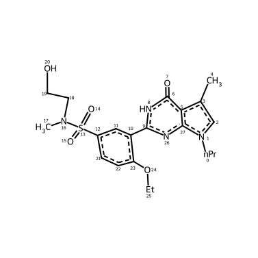 CCCn1cc(C)c2c(=O)[nH]c(-c3cc(S(=O)(=O)N(C)CCO)ccc3OCC)nc21